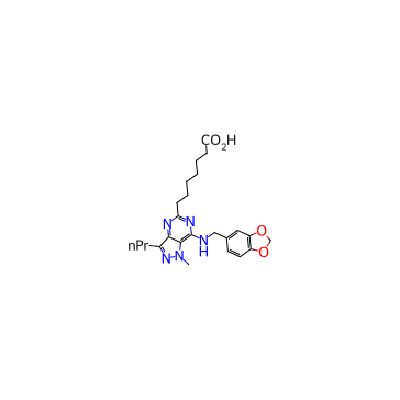 CCCc1nn(C)c2c(NCc3ccc4c(c3)OCO4)nc(CCCCCCC(=O)O)nc12